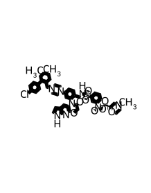 CN1CCO[C@@H](COc2ccc(S(=O)(=O)NC(=O)c3ccc(N4CCN(CC5=C(c6ccc(Cl)cc6)CC(C)(C)CC5)CC4)cc3N3CCOc4nc5[nH]ccc5cc43)cc2[N+](=O)[O-])C1